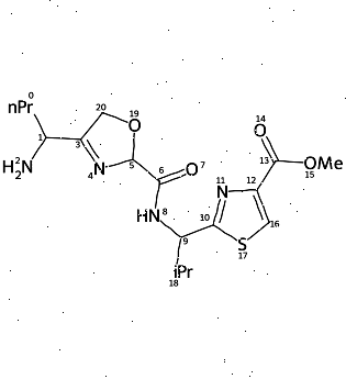 CCCC(N)C1=NC(C(=O)NC(c2nc(C(=O)OC)cs2)C(C)C)OC1